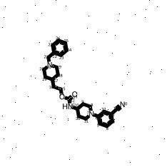 N#Cc1cccc(N2CCC(NC(=O)OCCC3CCN(Cc4ccccc4)CC3)CC2)c1